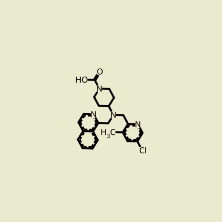 Cc1cc(Cl)cnc1CN(Cc1nccc2ccccc12)C1CCN(C(=O)O)CC1